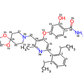 CCc1cccc(CC)c1-c1cc(Oc2ccc(C(N)=O)c(O)c2)c(CN2CCC3(CC2)OCCO3)c(C)n1